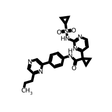 CCCc1cncc(-c2ccc(NC(=O)C3(c4ccnc(NS(=O)(=O)C5CC5)n4)CC3)cc2)n1